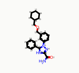 NC(=O)C1=NN(c2cccc(COCC3CCCCC3)c2)C(c2ccccc2)N1